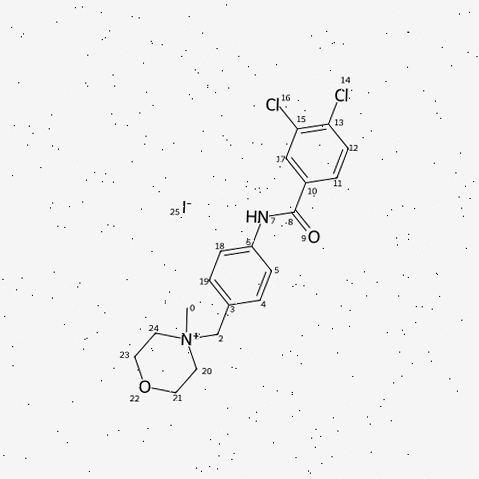 C[N+]1(Cc2ccc(NC(=O)c3ccc(Cl)c(Cl)c3)cc2)CCOCC1.[I-]